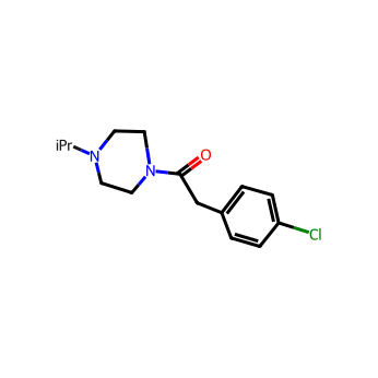 CC(C)N1CCN(C(=O)Cc2ccc(Cl)cc2)CC1